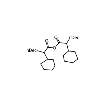 CCCCCCCCCCC(C(=O)OC(=O)C(CCCCCCCCCC)C1CCCCC1)C1CCCCC1